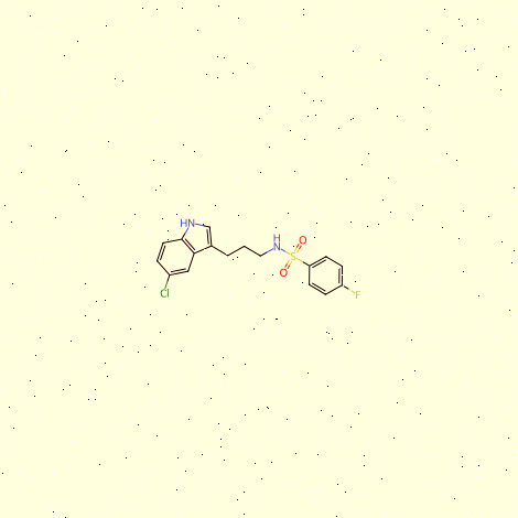 O=S(=O)(NCCCc1c[nH]c2ccc(Cl)cc12)c1ccc(F)cc1